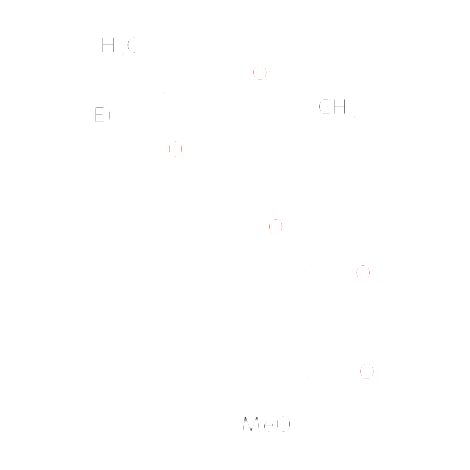 CCC1(C)COC(C)(COC(=O)CC(=O)OC)CO1